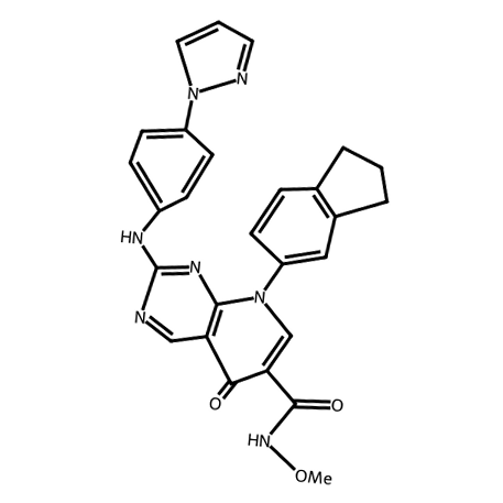 CONC(=O)c1cn(-c2ccc3c(c2)CCC3)c2nc(Nc3ccc(-n4cccn4)cc3)ncc2c1=O